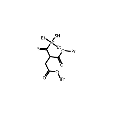 CC[N+](S)(CC)C(=S)C(CC(=O)OC(C)C)C(=O)OC(C)C